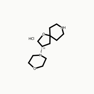 C1CC2(CCN1)C[C@H](N1CCOCC1)CO2.Cl